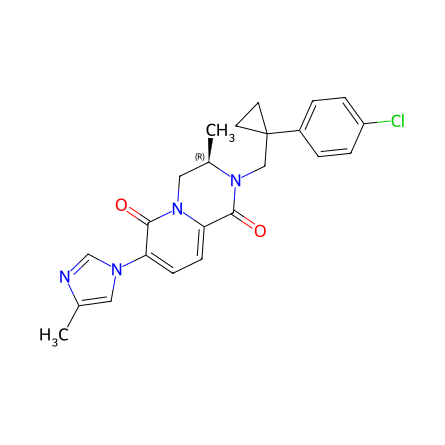 Cc1cn(-c2ccc3n(c2=O)C[C@@H](C)N(CC2(c4ccc(Cl)cc4)CC2)C3=O)cn1